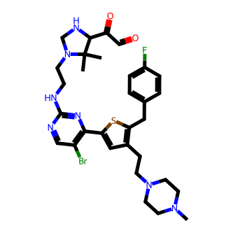 CN1CCN(CCc2cc(-c3nc(NCCN4CNC(C(=O)C=O)C4(C)C)ncc3Br)sc2Cc2ccc(F)cc2)CC1